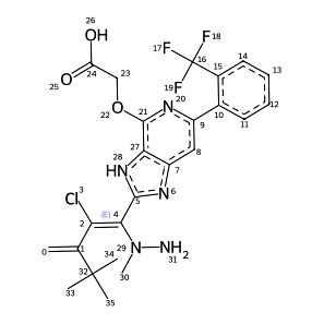 C=C(/C(Cl)=C(/c1nc2cc(-c3ccccc3C(F)(F)F)nc(OCC(=O)O)c2[nH]1)N(C)N)C(C)(C)C